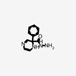 NNC(=O)C1(c2ccccc2)C=NC=CN1